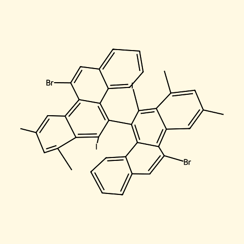 Cc1cc(C)c2c(I)c(-c3c(I)c4c(C)cc(C)cc4c4c(Br)cc5ccccc5c34)c3c4ccccc4cc(Br)c3c2c1